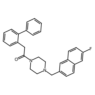 O=C(Cc1ccccc1-c1ccccc1)N1CCN(Cc2ccc3cc(F)ccc3c2)CC1